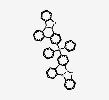 c1ccc([Si](c2ccccc2)(c2ccc3c(c2)-c2ccccc2N2B3Oc3ccccc32)c2ccc3c(c2)-c2ccccc2N2B3Oc3ccccc32)cc1